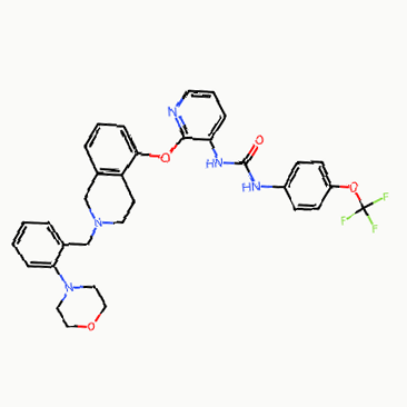 O=C(Nc1ccc(OC(F)(F)F)cc1)Nc1cccnc1Oc1cccc2c1CCN(Cc1ccccc1N1CCOCC1)C2